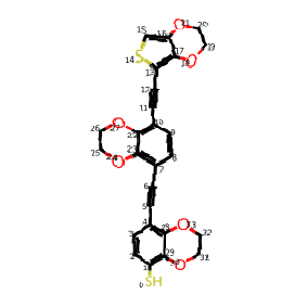 Sc1ccc(C#Cc2ccc(C#Cc3scc4c3OCCO4)c3c2OCCO3)c2c1OCCO2